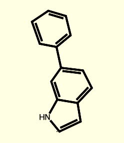 [c]1cc2ccc(-c3ccccc3)cc2[nH]1